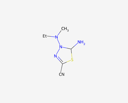 CCN(C)N1N=C(C#N)SC1N